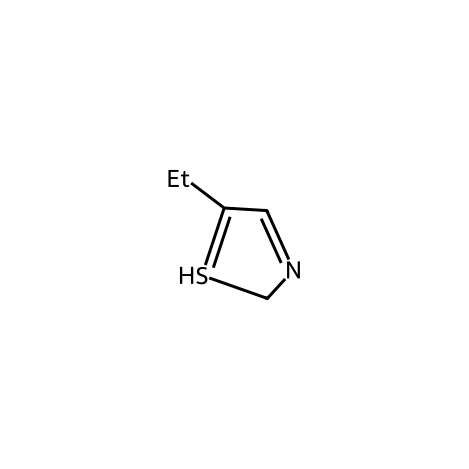 CCC1=[SH]CN=C1